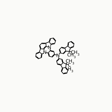 CC1(C)c2ccccc2-c2ccc(N(c3ccc4c(c3)C(C)(C)c3ccccc3-4)c3ccc4c(c3)n3c5ccccc5c5ccc6c7ccccc7n4c6c53)cc21